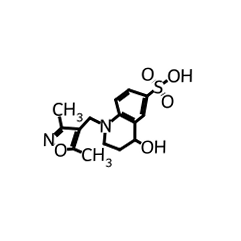 Cc1noc(C)c1CN1CCC(O)c2cc(S(=O)(=O)O)ccc21